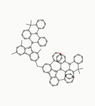 Cc1cc(C)c2c(c1)c1cc(Cc3cc(-c4ccccc4)c4c(c3)c3cccc(-c5ccccc5)c3n4B3c4ccccc4N4c5ccccc5C(C)(C)c5cccc3c54)cc(C)c1n2B1c2ccccc2N2c3ccccc3C(C)(C)c3cccc1c32